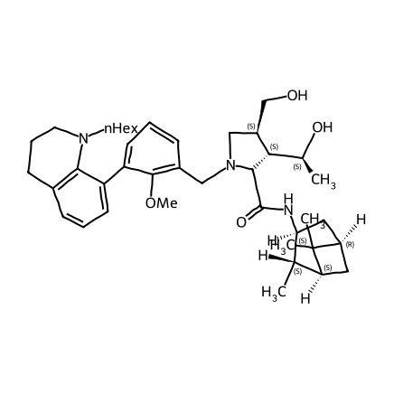 CCCCCCN1CCCc2cccc(-c3cccc(CN4C[C@@H](CO)[C@H]([C@H](C)O)C4C(=O)N[C@H]4C[C@H]5C[C@@H]([C@@H]4C)C5(C)C)c3OC)c21